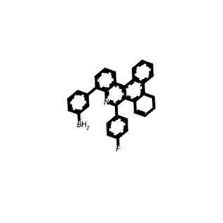 Bc1cccc(-c2cccc3c2nc(-c2ccc(F)cc2)c2c4c(c5ccccc5c23)CCC=C4)c1